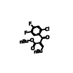 CCCCC=C(C(=O)OCCCC)C(=O)c1cc(F)c(F)cc1Cl